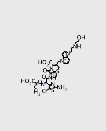 C[C@H](O/N=C(\C(=O)N[C@@H]1C(=O)N2C(C(=O)O)=C(C[n+]3cccc4c3ccn4CCNCCO)CS[C@H]12)c1nc(N)sc1Cl)C(=O)O